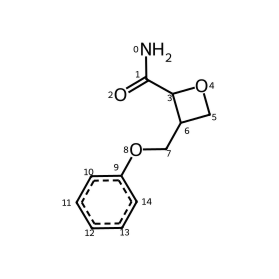 NC(=O)C1OCC1COc1ccccc1